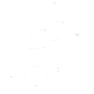 COc1cc(Cl)c(-c2nc(SC)nc3[nH]cc(C#N)c23)cc1OC